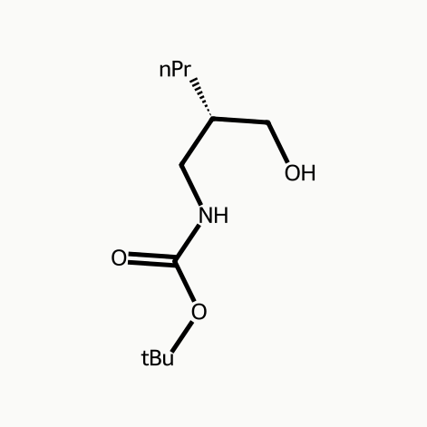 CCC[C@H](CO)CNC(=O)OC(C)(C)C